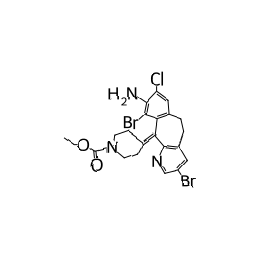 CCOC(=O)N1CCC(=C2c3ncc(Br)cc3CCc3cc(Cl)c(N)c(Br)c32)CC1